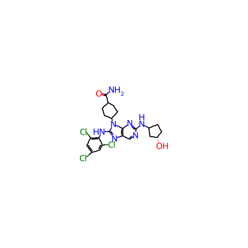 NC(=O)C1CCC(n2c(Nc3c(Cl)cc(Cl)cc3Cl)nc3cnc(NC4CC[C@H](O)C4)nc32)CC1